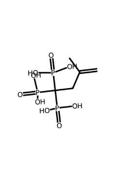 C=C(C)CC(P(=O)(O)O)(P(=O)(O)O)P(=O)(O)O